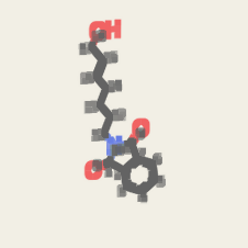 O=C1c2ccccc2C(=O)N1CCCCC=CCO